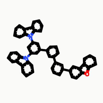 c1cc(-c2cccc(-c3ccc4oc5ccccc5c4c3)c2)cc(-c2cc(-n3c4ccccc4c4ccccc43)cc(-n3c4ccccc4c4ccccc43)c2)c1